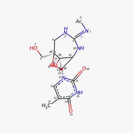 CC(=O)/N=C1\NC[C@]2(CO)O[C@@H](n3cc(C)c(=O)[nH]c3=O)C(N1)[C@H]2O